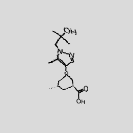 Cc1c(N2C[C@@H](C)C[C@H](C(=O)O)C2)cnn1CC(C)(C)O